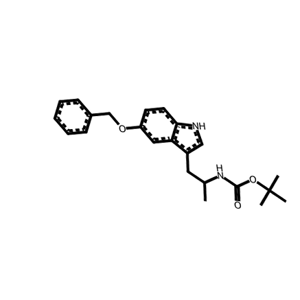 CC(Cc1c[nH]c2ccc(OCc3ccccc3)cc12)NC(=O)OC(C)(C)C